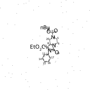 CCCCOC(=O)N1CCn2c(c(C(=O)OCC)n(-c3ccccc3)c2=O)C1